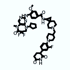 COc1cc(C(=O)NC2CC23CCN(CC2CCN(c4ccc(C5CCC(=O)NC5=O)cc4F)CC2)CC3)ccc1Nc1ncc2c(n1)N(C1CCCC1)CC(F)(F)C(=O)N2C